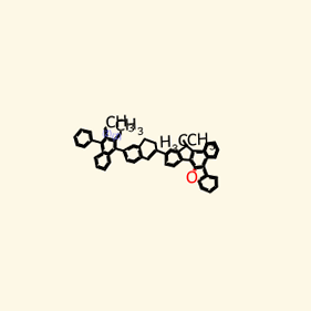 C/C=c1/c(-c2ccccc2)c2ccccc2c(-c2ccc3c(c2)CCC(c2ccc4c(c2)C(C)(C)c2c-4c4oc5ccccc5c4c4ccccc24)=C3)/c1=C/C